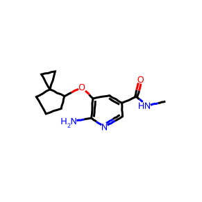 CNC(=O)c1cnc(N)c(OC2CCCC23CC3)c1